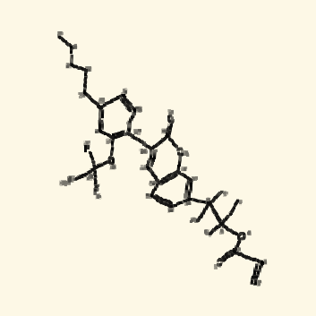 C=CC(=O)OC(C)(C)C(C)(C)c1ccc2cc(-c3ccc(CCCCC)cc3OC(F)(F)F)c(=O)oc2c1